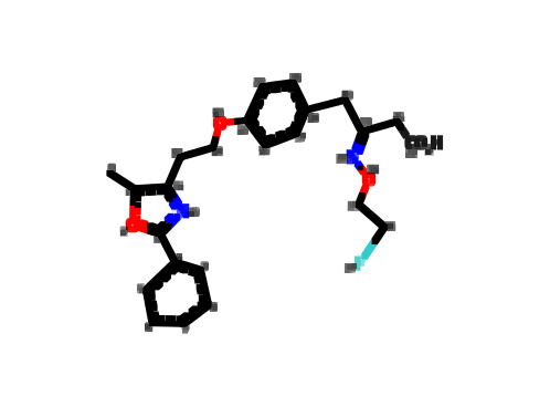 Cc1oc(-c2ccccc2)nc1CCOc1ccc(CC(CC(=O)O)=NOCCF)cc1